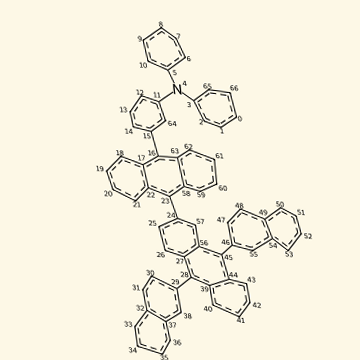 c1ccc(N(c2ccccc2)c2cccc(-c3c4ccccc4c(-c4ccc5c(-c6ccc7ccccc7c6)c6ccccc6c(-c6ccc7ccccc7c6)c5c4)c4ccccc34)c2)cc1